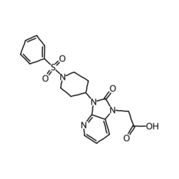 O=C(O)Cn1c(=O)n(C2CCN(S(=O)(=O)c3ccccc3)CC2)c2ncccc21